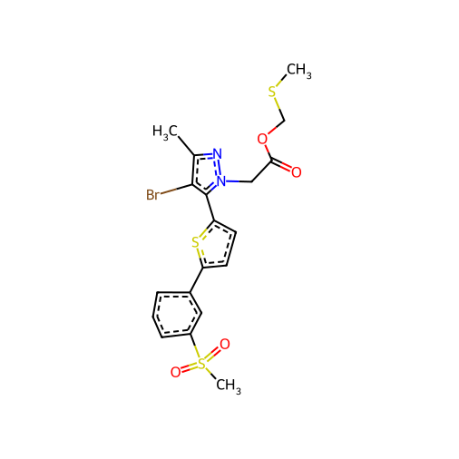 CSCOC(=O)Cn1nc(C)c(Br)c1-c1ccc(-c2cccc(S(C)(=O)=O)c2)s1